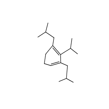 CC(C)CC1=CCCC(CC(C)C)=C1C(C)C